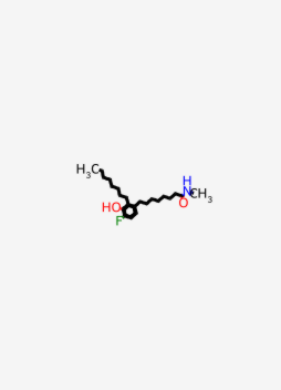 CCCCCCCCc1c(CCCCCCCC(=O)NC)ccc(F)c1O